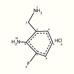 Cl.NCc1cccc(F)c1N